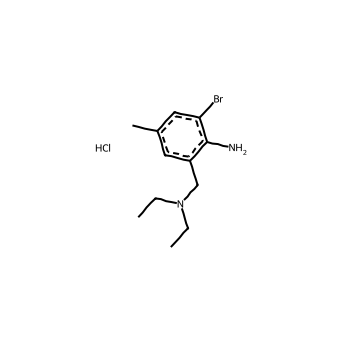 CCN(CC)Cc1cc(C)cc(Br)c1N.Cl